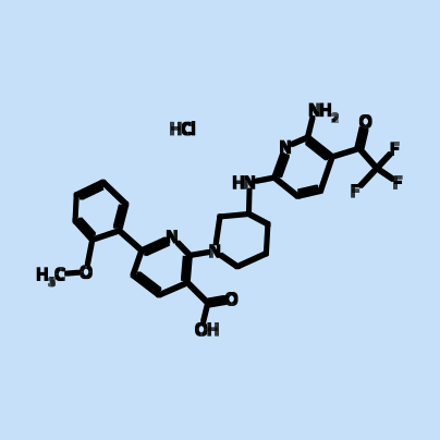 COc1ccccc1-c1ccc(C(=O)O)c(N2CCCC(Nc3ccc(C(=O)C(F)(F)F)c(N)n3)C2)n1.Cl